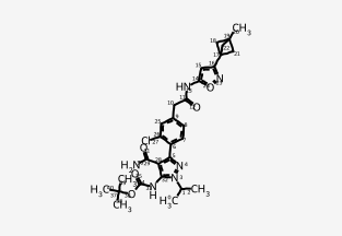 CC(C)n1nc(-c2ccc(CC(=O)Nc3cc(C45CC(C)(C4)C5)no3)cc2Cl)c(C(N)=O)c1NC(=O)OC(C)(C)C